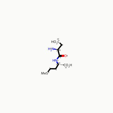 CSCC[C@H](NC(=O)[C@@H](N)CC(=O)O)C(=O)O